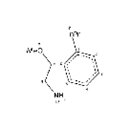 CCCc1ccccc1.COCCN